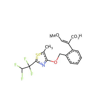 COC=C(C(=O)O)c1ccccc1COc1nc(C(F)(F)C(F)F)sc1C